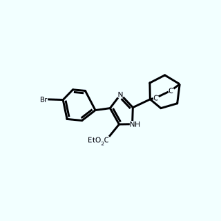 CCOC(=O)c1[nH]c(C23CCC(CC2)CC3)nc1-c1ccc(Br)cc1